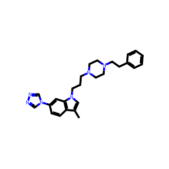 Cc1cn(CCCN2CCN(CCc3ccccc3)CC2)c2cc(-n3cnnc3)ccc12